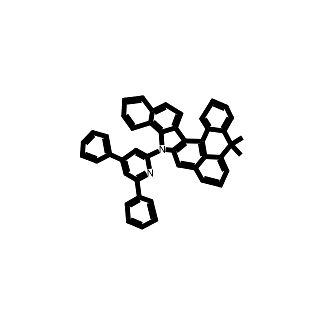 CC1(C)c2ccccc2-c2c3c1cccc3cc1c2c2ccc3ccccc3c2n1-c1cc(-c2ccccc2)cc(-c2ccccc2)n1